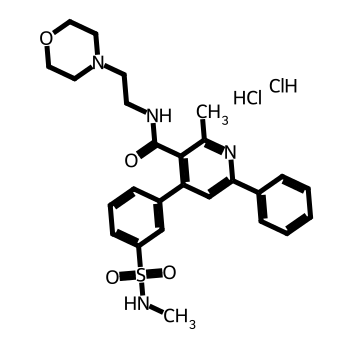 CNS(=O)(=O)c1cccc(-c2cc(-c3ccccc3)nc(C)c2C(=O)NCCN2CCOCC2)c1.Cl.Cl